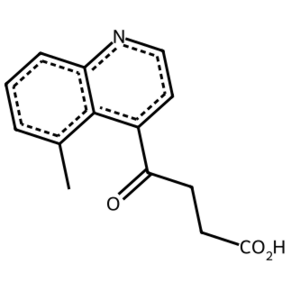 Cc1cccc2nccc(C(=O)CCC(=O)O)c12